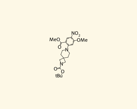 COC(=O)c1cc([N+](=O)[O-])c(OC)cc1N1CCC2(CC1)CN(C(=O)OC(C)(C)C)C2